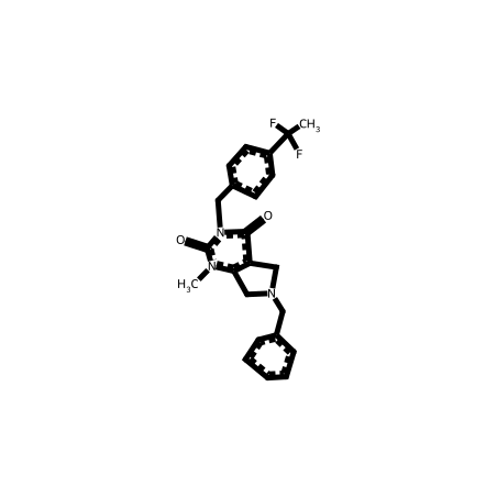 Cn1c2c(c(=O)n(Cc3ccc(C(C)(F)F)cc3)c1=O)CN(Cc1ccccc1)C2